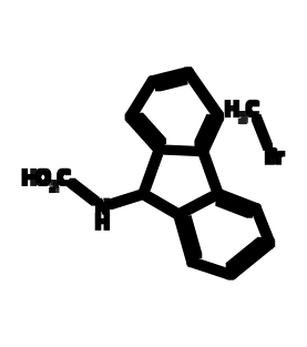 CBr.O=C(O)NC1c2ccccc2-c2ccccc21